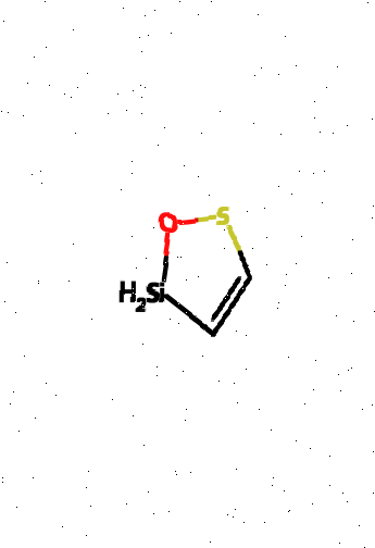 C1=CSO[SiH2]1